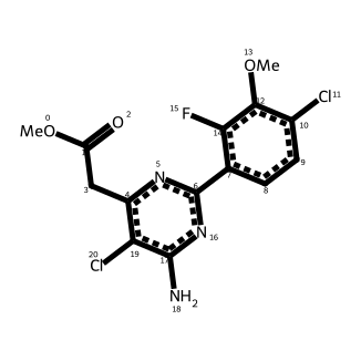 COC(=O)Cc1nc(-c2ccc(Cl)c(OC)c2F)nc(N)c1Cl